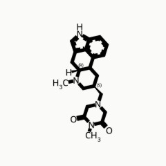 CN1C(=O)CN(C[C@@H]2CC3c4cccc5[nH]cc(c45)C[C@H]3N(C)C2)CC1=O